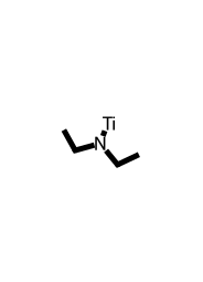 CC[N]([Ti])CC